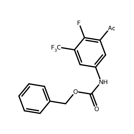 CC(=O)c1cc(NC(=O)OCc2ccccc2)cc(C(F)(F)F)c1F